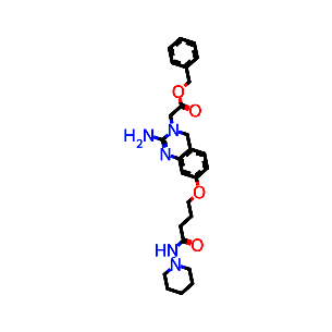 NC1=Nc2cc(OCCCC(=O)NN3CCCCC3)ccc2CN1CC(=O)OCc1ccccc1